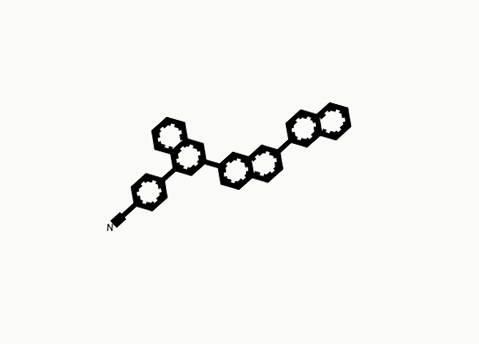 N#Cc1ccc(-c2cc(-c3ccc4ccc(-c5ccc6ccccc6c5)cc4c3)cc3ccccc23)cc1